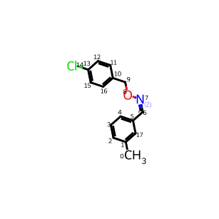 Cc1cccc(/[C]=N\OCc2ccc(Cl)cc2)c1